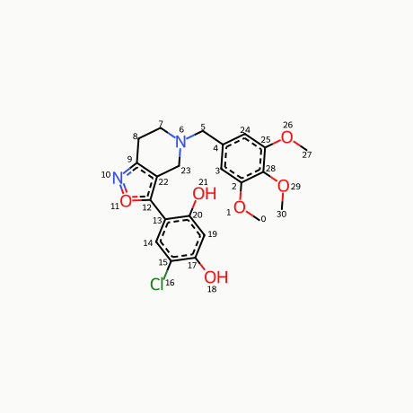 COc1cc(CN2CCc3noc(-c4cc(Cl)c(O)cc4O)c3C2)cc(OC)c1OC